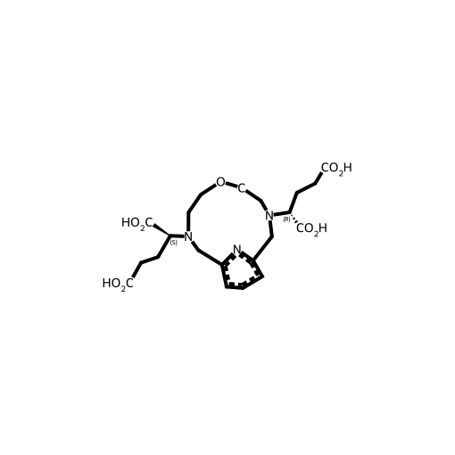 O=C(O)CC[C@H](C(=O)O)N1CCOCCN([C@@H](CCC(=O)O)C(=O)O)Cc2cccc(n2)C1